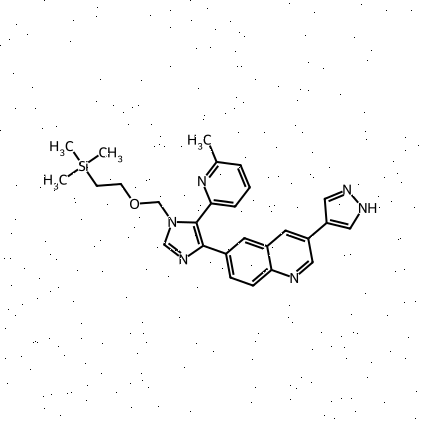 Cc1cccc(-c2c(-c3ccc4ncc(-c5cn[nH]c5)cc4c3)ncn2COCC[Si](C)(C)C)n1